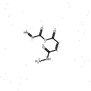 N=NC(=O)OC(=O)/C=C\C(=O)NN